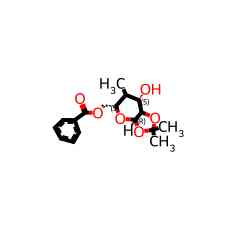 CC1[C@H](O)C2OC(C)(C)O[C@H]2O[C@@H]1COC(=O)c1ccccc1